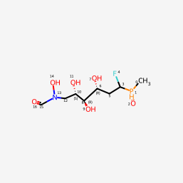 C[PH](=O)C(F)C[C@@H](O)[C@@H](O)[C@@H](O)CN(O)C=O